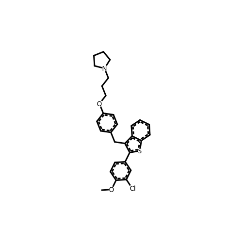 COc1ccc(-c2sc3ccccc3c2Cc2ccc(OCCCN3CCCC3)cc2)cc1Cl